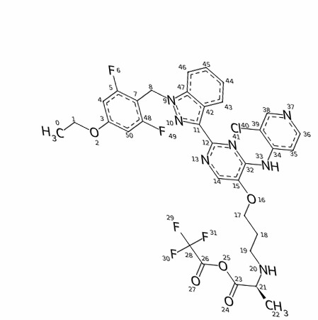 CCOc1cc(F)c(Cn2nc(-c3ncc(OCCCN[C@@H](C)C(=O)OC(=O)C(F)(F)F)c(Nc4ccncc4Cl)n3)c3ccccc32)c(F)c1